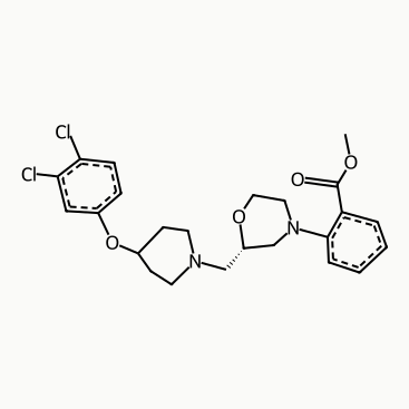 COC(=O)c1ccccc1N1CCO[C@@H](CN2CCC(Oc3ccc(Cl)c(Cl)c3)CC2)C1